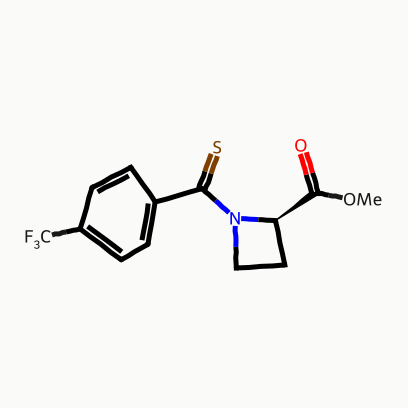 COC(=O)[C@H]1CCN1C(=S)c1ccc(C(F)(F)F)cc1